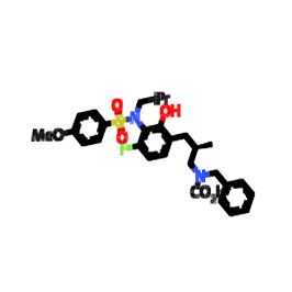 COc1ccc(S(=O)(=O)N(CC(C)C)c2c(F)ccc(C[C@@H](C)CN(Cc3ccccc3)C(=O)O)c2O)cc1